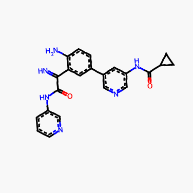 N=C(C(=O)Nc1cccnc1)c1cc(-c2cncc(NC(=O)C3CC3)c2)ccc1N